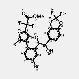 COC(=O)C(F)(F)c1cc(-c2ccc(Br)cc2C(O)C(O)c2ccc3c(c2)OC(F)(F)O3)n(C)n1